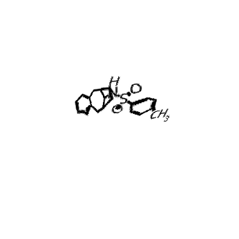 Cc1ccc(S(=O)(=O)NC2C3CCC2Cc2ccccc2C3)cc1